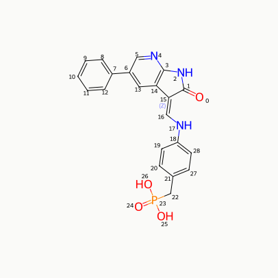 O=C1Nc2ncc(-c3ccccc3)cc2/C1=C/Nc1ccc(CP(=O)(O)O)cc1